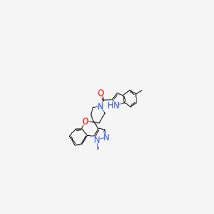 Cc1ccc2[nH]c(C(=O)N3CCC4(CC3)Oc3ccccc3-c3c4cnn3C)cc2c1